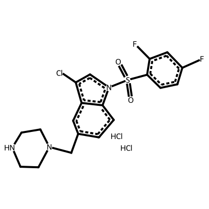 Cl.Cl.O=S(=O)(c1ccc(F)cc1F)n1cc(Cl)c2cc(CN3CCNCC3)ccc21